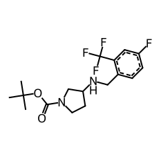 CC(C)(C)OC(=O)N1CCC(NCc2ccc(F)cc2C(F)(F)F)C1